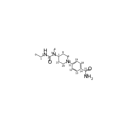 CCNC(=O)N(C)C1CCN(c2ccc(C(N)=O)cc2)CC1